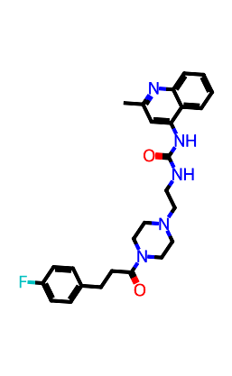 Cc1cc(NC(=O)NCCN2CCN(C(=O)CCc3ccc(F)cc3)CC2)c2ccccc2n1